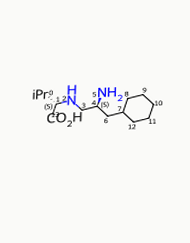 CC(C)[C@H](NC[C@@H](N)CC1CCCCC1)C(=O)O